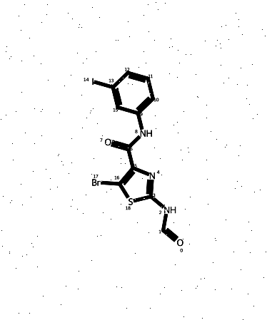 O=CNc1nc(C(=O)Nc2cccc(I)c2)c(Br)s1